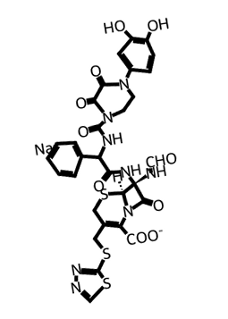 O=CN[C@@]1(NC(=O)C(NC(=O)N2CCN(c3ccc(O)c(O)c3)C(=O)C2=O)c2ccccc2)C(=O)N2C(C(=O)[O-])=C(CSc3nncs3)CS[C@H]21.[Na+]